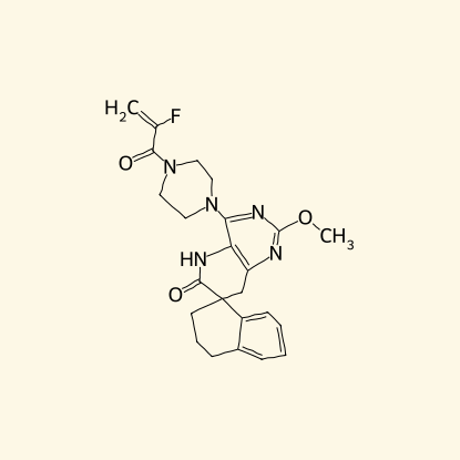 C=C(F)C(=O)N1CCN(c2nc(OC)nc3c2NC(=O)C2(CCCc4ccccc42)C3)CC1